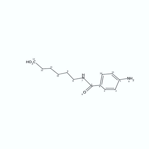 Nc1ccc(C(=O)NCCCCCC(=O)O)cc1